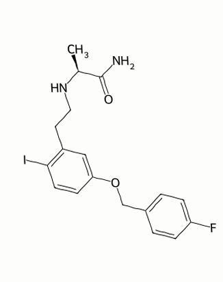 C[C@H](NCCc1cc(OCc2ccc(F)cc2)ccc1I)C(N)=O